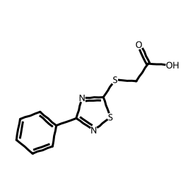 O=C(O)CSc1nc(-c2ccccc2)ns1